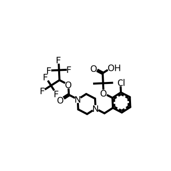 CC(C)(Oc1c(Cl)cccc1CN1CCN(C(=O)OC(C(F)(F)F)C(F)(F)F)CC1)C(=O)O